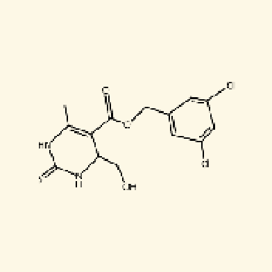 CC1=C(C(=O)OCc2cc(Cl)cc(Cl)c2)C(CO)NC(=S)N1